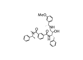 COc1cccc([C@@H](C)NC[C@@H](O)[C@H](Cc2ccccc2)NC(=O)c2cccc(C(=O)N(C)[C@@H](C)c3ccccc3)c2)c1